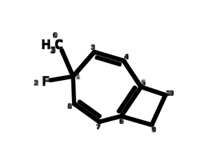 CC1(F)C=CC2=C(C=C1)CC2